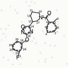 Cc1ccccc1C(=O)N1CCCC(c2nc(Oc3cccc(F)c3)no2)C1